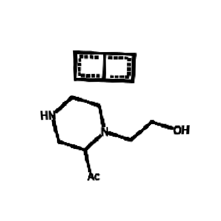 CC(=O)C1CNCCN1CCO.c1cc2ccc1-2